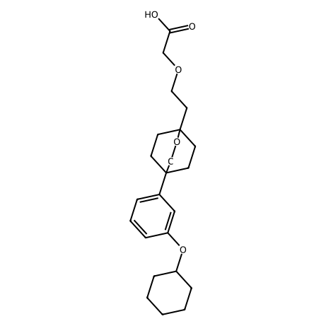 O=C(O)COCCC12CCC(c3cccc(OC4CCCCC4)c3)(CC1)CO2